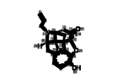 C=CCN1[C@@H]2Cc3ccc(O)c4c3[C@@]35C[C@@]1(CC(=O)[C@@H]3O4)[C@@]25O